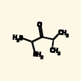 BC(B)C(=O)C(C)C